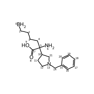 BCCCCC(N)(C(=O)O)C1CCN(Cc2ccccc2)C1